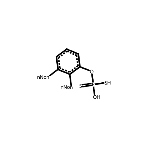 CCCCCCCCCc1cccc(OP(O)(=S)S)c1CCCCCCCCC